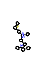 c1ccc(-c2nc(-c3ccc(-c4cccc5c4sc4ccccc45)cc3)cc(-c3cccc(-c4cccc5c4nc(-c4ccccc4)c4cccc(-c6ccccc6)c45)c3)n2)cc1